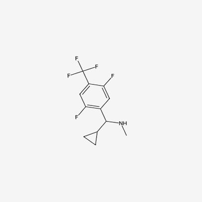 CNC(c1cc(F)c(C(F)(F)F)cc1F)C1CC1